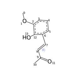 COc1cccc(/C=C/C(C)=O)c1O